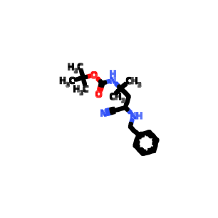 CC(C)(CC(C#N)NCc1ccccc1)NC(=O)OC(C)(C)C